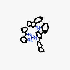 c1ccc(-c2nc(-n3c4cc5ccccc5cc4c4cc5c6ccccc6n(-c6cc7ccccc7c7ccccc67)c5cc43)nc3ccccc23)cc1